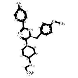 CC(C)(C)Oc1ccc(C[C@H](NC(=O)c2ccc(C#N)cn2)C(=O)N2CCC(OCC(=O)O)CC2)cc1